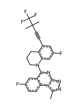 Cc1nnc2nc(N3CCCc4c(C#CC(C)(C)C(F)(F)F)cc(F)cc43)c3cc(F)ccc3n12